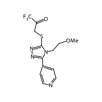 COCCn1c(SCC(=O)C(F)(F)F)nnc1-c1ccncc1